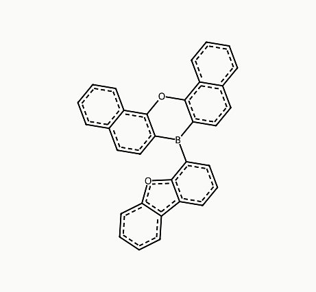 c1ccc2c3c(ccc2c1)B(c1cccc2c1oc1ccccc12)c1ccc2ccccc2c1O3